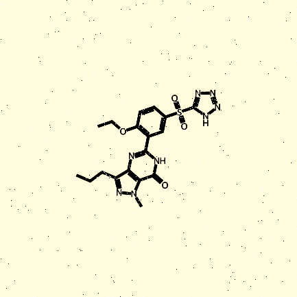 CCCc1nn(C)c2c(=O)[nH]c(-c3cc(S(=O)(=O)c4nnn[nH]4)ccc3OCC)nc12